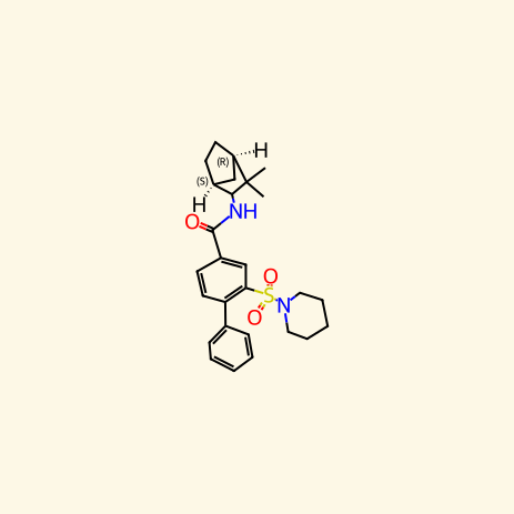 CC1(C)C(NC(=O)c2ccc(-c3ccccc3)c(S(=O)(=O)N3CCCCC3)c2)[C@H]2CC[C@@H]1C2